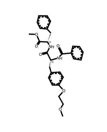 COCCOc1ccc(C[C@@H](NC(=O)c2ccccc2)C(=O)N[C@@H](Cc2ccccc2)C(=O)OC)cc1